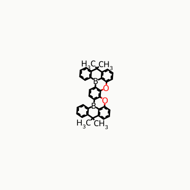 CC1(C)c2ccccc2B2c3ccc4c(c3Oc3cccc1c32)Oc1cccc2c1B4c1ccccc1C2(C)C